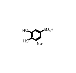 O=S(=O)(O)c1ccc(S)c(O)c1.[Na]